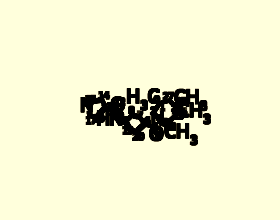 CC1CN(C(=O)c2ccc(NC(=O)c3ccncc3)cc2)C(C)CC(C)(C)C1